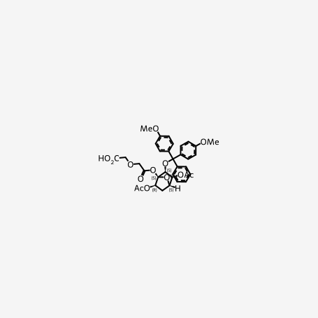 COc1ccc(C(O[C@H]2[C@@H](OC(C)=O)[C@@H]3C[C@@H](OC(C)=O)[C@@]2(OC(=O)COCC(=O)O)O3)(c2ccccc2)c2ccc(OC)cc2)cc1